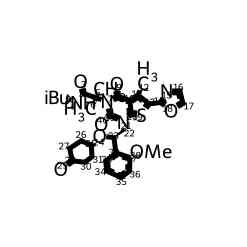 CCC(C)NC(=O)C(C)(C)n1c(=O)c2c(C)c(-c3ncco3)sc2n(C[C@H](OC2CCC(=O)CC2)c2ccccc2OC)c1=O